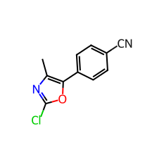 Cc1nc(Cl)oc1-c1ccc(C#N)cc1